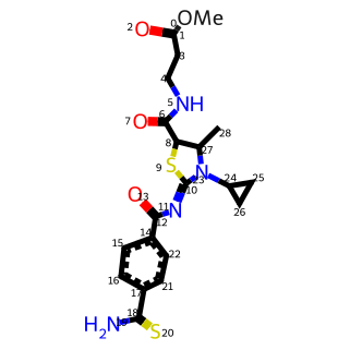 COC(=O)CCNC(=O)C1SC(=NC(=O)c2ccc(C(N)=S)cc2)N(C2CC2)C1C